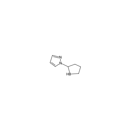 B1CCCC1n1cccn1